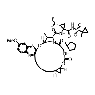 COc1ccc2nc3c(nc2c1)O[C@H]1CN(C(=O)[C@H](C2(C)CCCC2)NC(=O)O[C@@H]2C[C@H]2CCCCC3)[C@H](C(=O)NC2(C(=O)NS(=O)(=O)C3(C)CC3)C[C@H]2C(F)F)[C@@H]1C